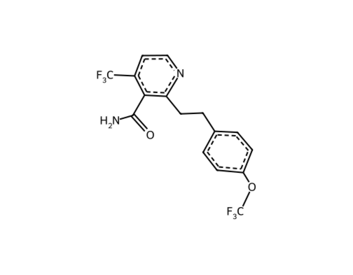 NC(=O)c1c(C(F)(F)F)ccnc1CCc1ccc(OC(F)(F)F)cc1